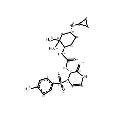 Cc1ccc(S(=O)(=O)N2C=CNC(=O)[C@H]2CC(=O)N[C@@H]2CC[C@@H](NC3CC3)CC2(C)C)cc1